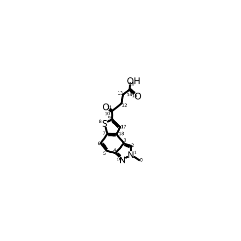 Cn1cc2c(ccc3sc(C(=O)CCC(=O)O)cc32)n1